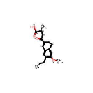 CCCc1cc2c(cc1OC)CCC(C(=O)C[C@H](C)C(=O)O)=C2